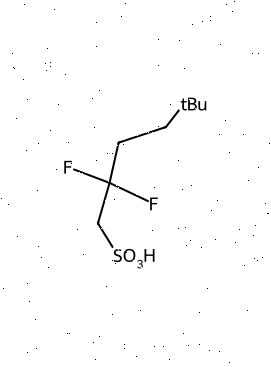 CC(C)(C)CCC(F)(F)CS(=O)(=O)O